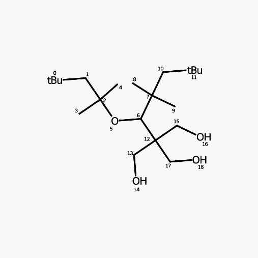 CC(C)(C)CC(C)(C)OC(C(C)(C)CC(C)(C)C)C(CO)(CO)CO